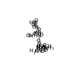 Cc1cnc(Nc2ccc(OCCCNC(=O)NCc3ccc4c(c3OCc3ccc(CN5CCOCC5)cc3)CN(C(=O)[C@H]3CCC(=O)NC3=O)C4)cc2)nc1Nc1cccc(S(=O)(=O)NC(C)(C)C)c1